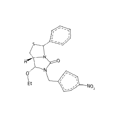 CCOC1[C@@H]2CSC(c3ccccc3)N2C(=O)N1Cc1ccc([N+](=O)[O-])cc1